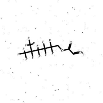 C=CC(=O)OCC(F)(F)C(F)(F)C(F)(F)C(F)(C(F)(F)F)C(F)(F)F